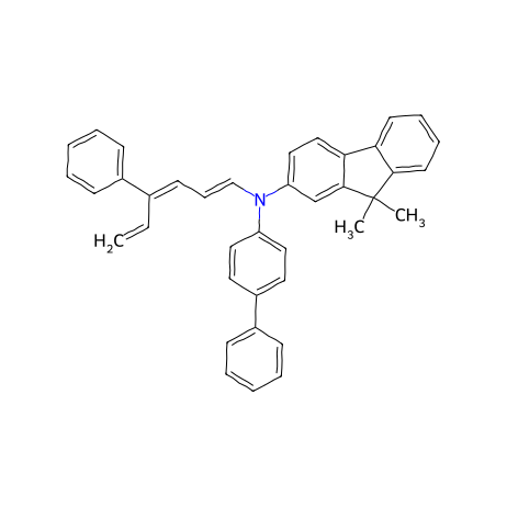 C=C/C(=C\C=C\N(c1ccc(-c2ccccc2)cc1)c1ccc2c(c1)C(C)(C)c1ccccc1-2)c1ccccc1